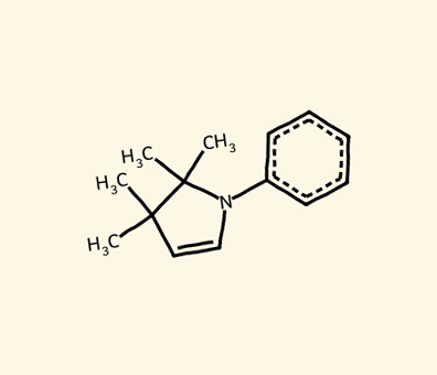 CC1(C)C=CN(c2ccccc2)C1(C)C